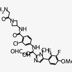 COc1ccc(-c2cnc(C(=O)Nc3ccc(C(=O)NC4CN(C(=O)CN)C4)c(Cl)c3)n2C)c(F)c1F.O=CO